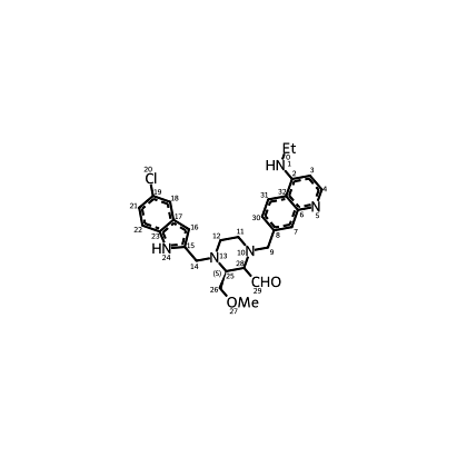 CCNc1ccnc2cc(CN3CCN(Cc4cc5cc(Cl)ccc5[nH]4)[C@H](COC)C3C=O)ccc12